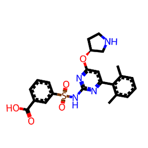 Cc1cccc(C)c1-c1cc(O[C@H]2CCNC2)nc(NS(=O)(=O)c2cccc(C(=O)O)c2)n1